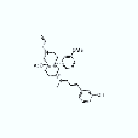 C=CCN1CC[C@@]2(c3cccc(OC)c3)C[C@H](N(C)CC=Cc3cccc(O)c3)CC[C@]2(OC(C)=O)C1